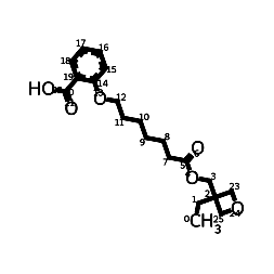 CCC1(COC(=O)CCCCCCOc2ccccc2C(=O)O)COC1